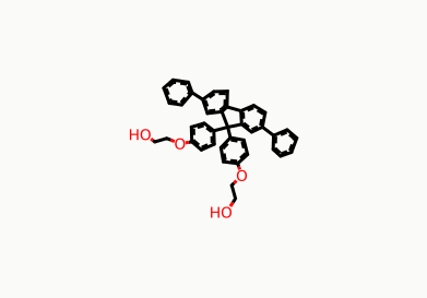 OCCOc1ccc(C2(c3ccc(OCCO)cc3)c3cc(-c4ccccc4)ccc3-c3ccc(-c4ccccc4)cc32)cc1